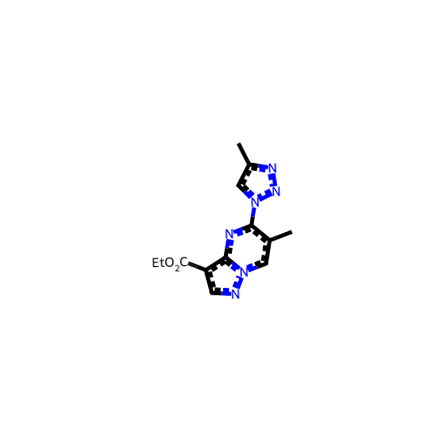 CCOC(=O)c1cnn2cc(C)c(-n3cc(C)nn3)nc12